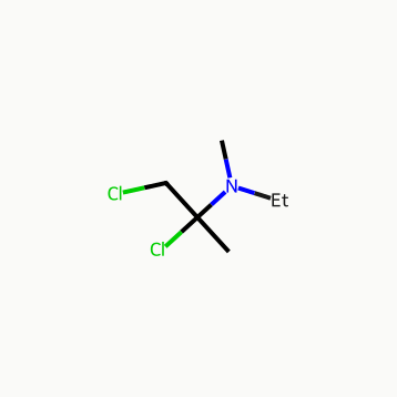 CCN(C)C(C)(Cl)CCl